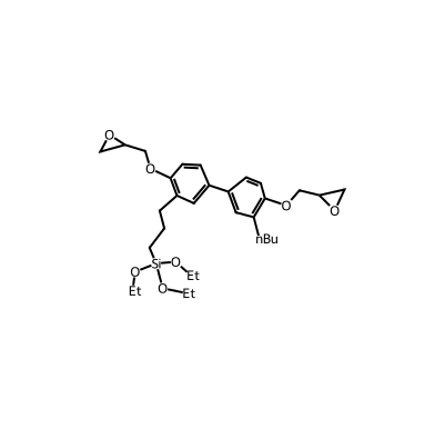 CCCCc1cc(-c2ccc(OCC3CO3)c(CCC[Si](OCC)(OCC)OCC)c2)ccc1OCC1CO1